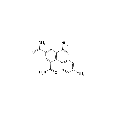 NC(=O)c1cc(C(N)=O)c(-c2ccc(N)cc2)c(C(N)=O)c1